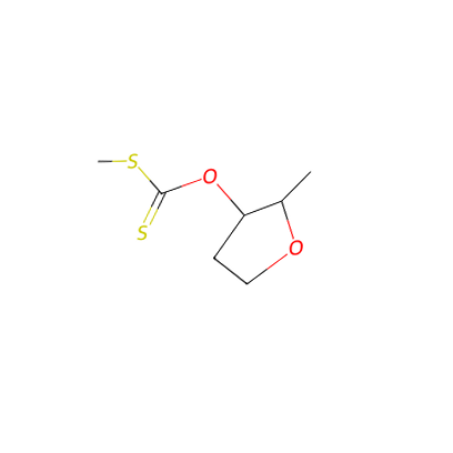 CSC(=S)OC1CCOC1C